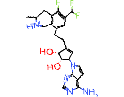 CC1Cc2c(F)c(C(F)F)cc(CCC3=C[C@@H](n4ccc5c(N)ncnc54)[C@H](O)[C@@H]3O)c2CN1